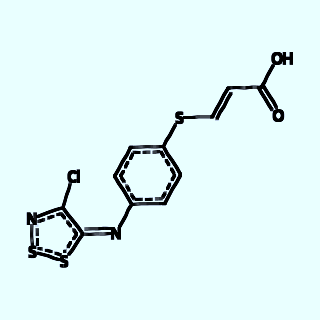 O=C(O)/C=C/Sc1ccc(N=c2ssnc2Cl)cc1